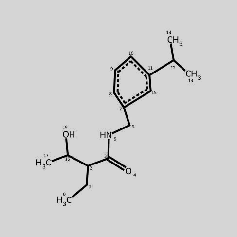 CCC(C(=O)NCc1cccc(C(C)C)c1)C(C)O